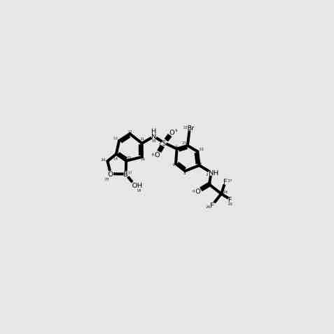 O=C(Nc1ccc(S(=O)(=O)Nc2ccc3c(c2)B(O)OC3)c(Br)c1)C(F)(F)F